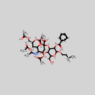 COC(=O)C1(OC2C(O)C(CO)OC(OCC[SiH2]C)C2OC(=O)c2ccccc2)CC(OC(C)=O)C(NC(C)=O)C([C@H](OC(C)=O)[C@@H](COC(C)=O)OC(C)=O)O1